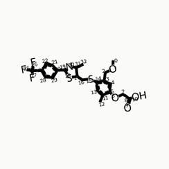 COCc1cc(OCC(=O)O)c(C)cc1SCC1SC(c2ccc(C(F)(F)F)cc2)=NC1C